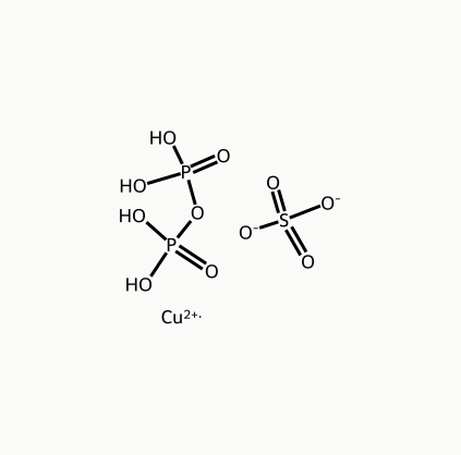 O=P(O)(O)OP(=O)(O)O.O=S(=O)([O-])[O-].[Cu+2]